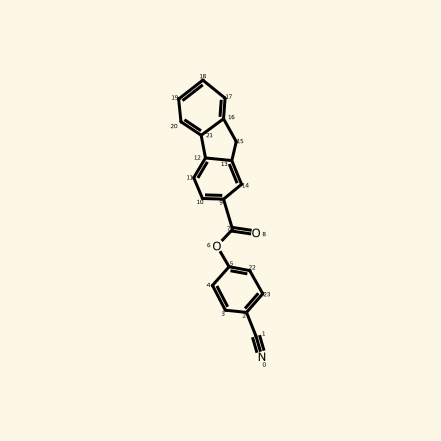 N#Cc1ccc(OC(=O)c2ccc3c(c2)Cc2ccccc2-3)cc1